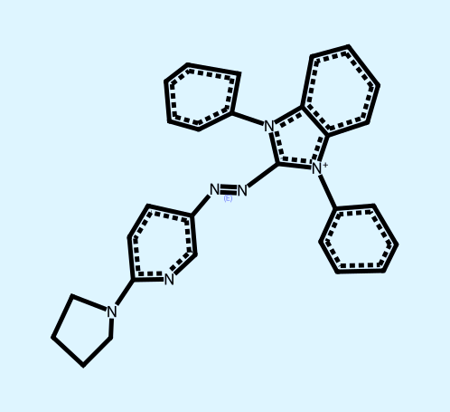 c1ccc(-n2c(/N=N/c3ccc(N4CCCC4)nc3)[n+](-c3ccccc3)c3ccccc32)cc1